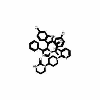 CC(c1ccc(Cl)cc1)n1cnc(-c2ccccc2)c1-c1c(C(=O)Nc2cccnc2N2CCC(N3CCCNC3=O)CC2)[nH]c2cc(Cl)ccc12